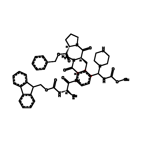 CC[C@H](C)[C@H](NC(=O)OCC1c2ccccc2-c2ccccc21)C(=O)N[C@@H](CCC(NC(=O)OC(C)(C)C)N1CCNCC1)C(=O)N(C)[C@H](Cc1ccccc1)C(=O)N1CCC[C@H]1C(=O)OCc1ccccc1